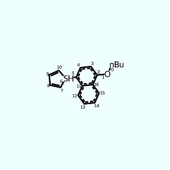 CCCCOc1ccc([SH]2C=CC=C2)c2ccccc12